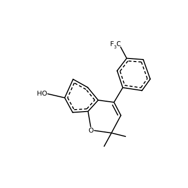 CC1(C)C=C(c2cccc(C(F)(F)F)c2)c2ccc(O)cc2O1